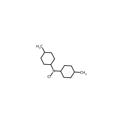 CC1CCC(N(Cl)C2CCC(C)CC2)CC1